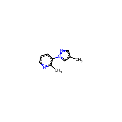 Cc1cnn(-c2cccnc2C)c1